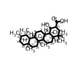 C[C@@H]1[C@H]2[C@H]3CC[C@@H]4[C@@]5(C)C(O)C(C(=O)O)CC(C)(C)[C@@H]5CC[C@@]4(C)[C@]3(C)CC[C@@]2(C)CC[C@H]1C